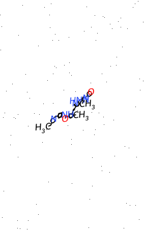 CCC1CCN(Cc2ccc(NC(=O)c3ccc(C)c(C#Cc4ccc(Nc5cn(C6CCOCC6)nc5C)nc4)c3)cc2)CC1